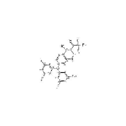 O=C(C1=C(O)c2ccc(N(c3cc(F)cc(F)c3)c3cc(F)cc(F)c3)cc2OC1)C(F)(F)F